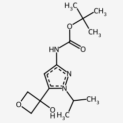 CC(C)n1nc(NC(=O)OC(C)(C)C)cc1C1(O)COC1